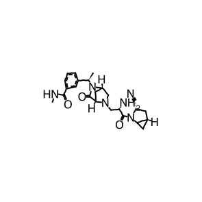 CNC(=O)c1cccc([C@@H](C)N2C(=O)[C@@H]3C[C@H]2CN3C[C@H](N)C(=O)N2C3C[C@H]3C[C@H]2C#N)c1